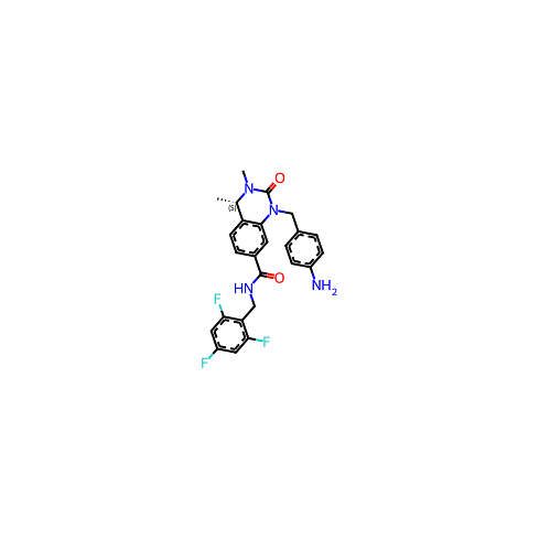 C[C@H]1c2ccc(C(=O)NCc3c(F)cc(F)cc3F)cc2N(Cc2ccc(N)cc2)C(=O)N1C